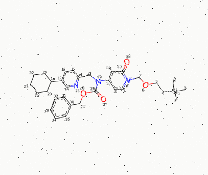 C[Si](C)(C)CCOCn1ccc(N(Cc2ccc(C3CCCCC3)cn2)C(=O)OCc2ccccc2)cc1=O